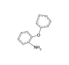 Nc1ccccc1Oc1cc[c]cc1